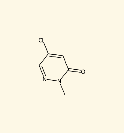 Cn1ncc(Cl)cc1=O